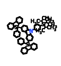 CC(C)[Si](c1ccc(-n2c3ccc([Si]4(c5ccccc5)c5ccccc5-c5ccccc54)cc3c3cc([Si]4(c5ccccc5)c5ccccc5-c5ccccc54)ccc32)cc1)(C(C)C)C(C)C